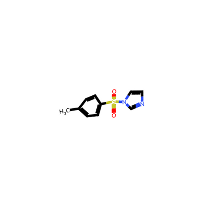 Cc1ccc(S(=O)(=O)n2ccnc2)cc1